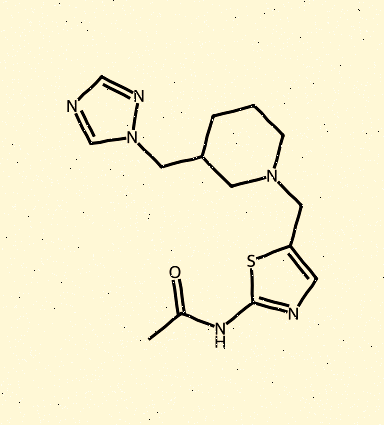 CC(=O)Nc1ncc(CN2CCCC(Cn3cncn3)C2)s1